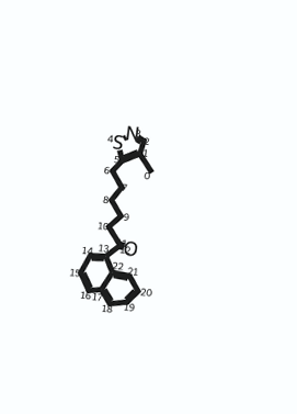 Cc1cnsc1CCCCCC(=O)c1cccc2ccccc12